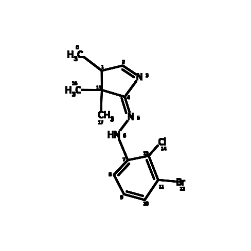 CC1C=N/C(=N/Nc2cccc(Br)c2Cl)C1(C)C